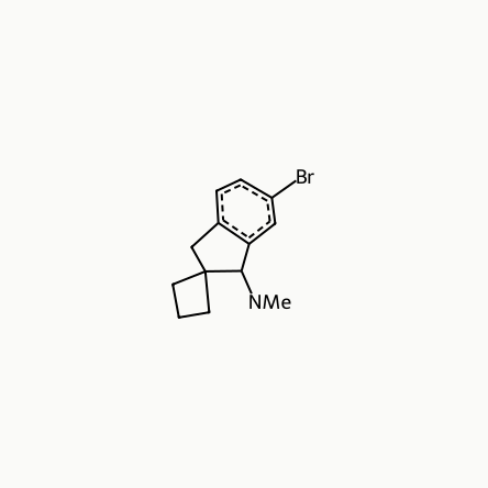 CNC1c2cc(Br)ccc2CC12CCC2